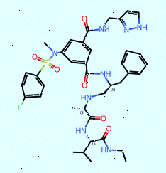 CCNC(=O)[C@@H](NC(=O)[C@H](C)NC[C@H](Cc1ccccc1)NC(=O)c1cc(C(=O)NCc2cc[nH]n2)cc(N(C)S(=O)(=O)c2ccc(F)cc2)c1)C(C)C